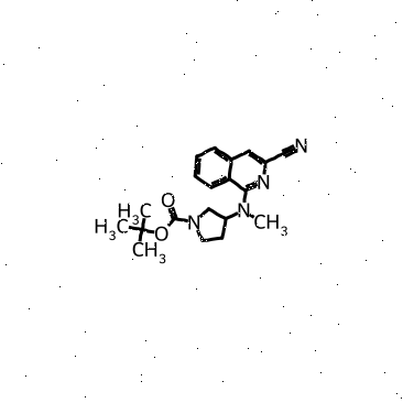 CN(c1nc(C#N)cc2ccccc12)C1CCN(C(=O)OC(C)(C)C)C1